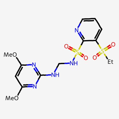 CCS(=O)(=O)c1cccnc1S(=O)(=O)NCNc1nc(OC)cc(OC)n1